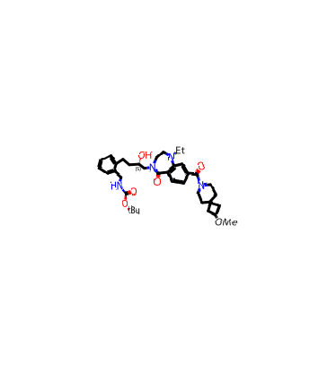 CCN1CCN(C[C@@H](O)CCc2ccccc2CNC(=O)OC(C)(C)C)C(=O)c2ccc(C(=O)N3CCC4(CC3)CC(OC)C4)cc21